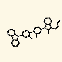 C=C/C=C\c1c(C)n(-c2ccc(-c3ccc(-n4c5ccccc5c5ccccc54)cc3C)c(C)c2)c2ccccc12